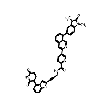 Cn1c(=O)n(C)c2cc(-c3cccc4cc(-c5ccc(C(=O)NCC#Cc6cc7c(C8CCC(=O)NC8=O)cccc7o6)nc5)ncc34)ccc21